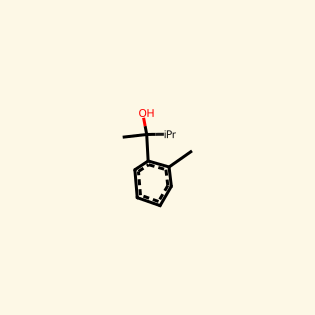 Cc1ccccc1C(C)(O)C(C)C